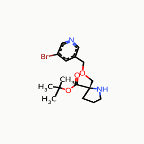 CC(C)(C)OC(=O)[C@@]1(COCc2cncc(Br)c2)CCCN1